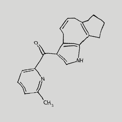 Cc1cccc(C(=O)c2c[nH]c3c4c(ccc23)CCC4)n1